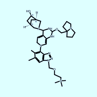 Cc1cc2c(nnn2COCC[Si](C)(C)C)c(N2C=C3NC(OCC45CCCN4CCC5)NC(N4C[C@@H]5C[C@H](C4)[C@H](O)C5)C3=CC2)c1C